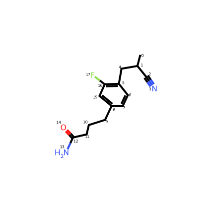 CC(C#N)Cc1ccc(CCCC(N)=O)cc1F